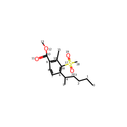 CCCCC(C)c1ccc(C(=O)OC)c(C)c1S(C)(=O)=O